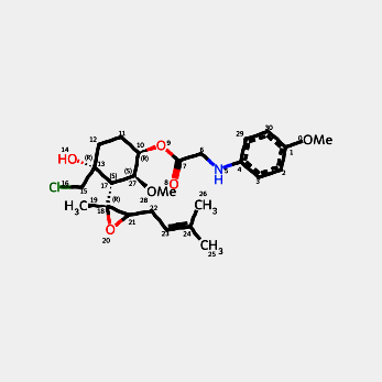 COc1ccc(NCC(=O)O[C@@H]2CC[C@](O)(CCl)[C@@H]([C@@]3(C)OC3CC=C(C)C)[C@@H]2OC)cc1